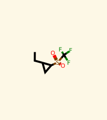 CCC1CC1S(=O)(=O)C(F)(F)F